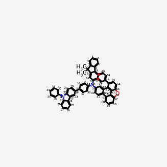 CC1(C)c2ccccc2-c2ccc(N(c3ccc(-c4ccc5c(c4)c4ccccc4n5-c4ccccc4)cc3)c3ccc4c(c3)c3c(-c5ccccc5)ccc5oc6cccc4c6c53)cc21